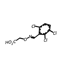 O=C(O)CO/N=C/c1c(Cl)ccc(Cl)c1Cl